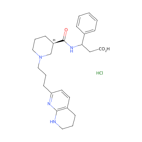 Cl.O=C(O)CC(NC(=O)[C@@H]1CCCN(CCCc2ccc3c(n2)NCCC3)C1)c1ccccc1